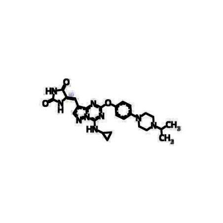 CC(C)N1CCN(c2ccc(Oc3nc(NC4CC4)n4ncc(/C=C5\NC(=O)NC5=O)c4n3)cc2)CC1